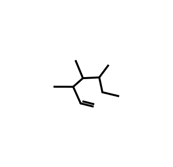 C=CC(C)C(C)C(C)CC